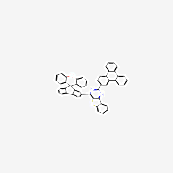 c1ccc2c(c1)Oc1ccccc1C21c2ccccc2-c2ccc(-c3nc(-c4ccc5c6ccccc6c6ccccc6c5c4)nc4c3sc3ccccc34)cc21